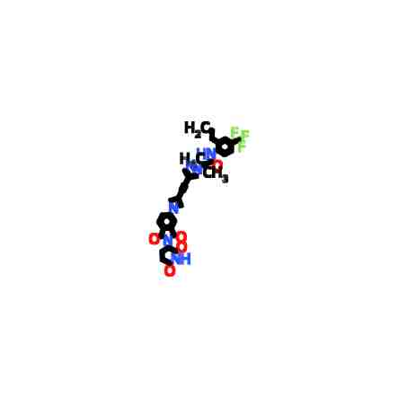 C=CCc1cc(C(F)(F)F)ccc1NC(=O)C(C)(C)n1cc(C#CC2CN(c3ccc4c(c3)C(=O)N(C3CCC(=O)NC3=O)C4=O)C2)cn1